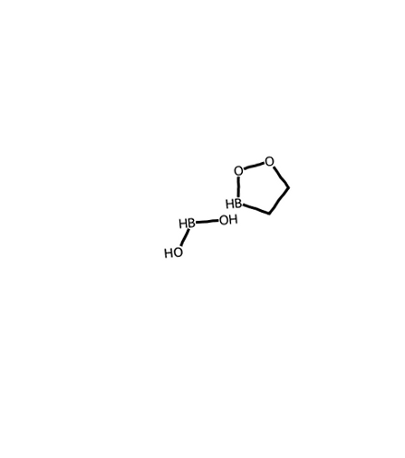 B1CCOO1.OBO